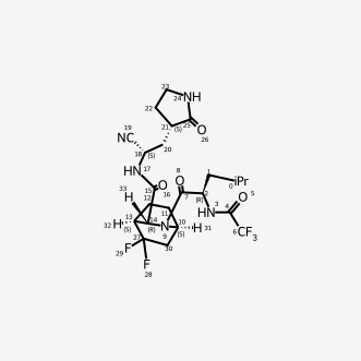 CC(C)C[C@@H](NC(=O)C(F)(F)F)C(=O)N1[C@H]2CC[C@@H]([C@@H]1C(=O)N[C@H](C#N)C[C@@H]1CCNC1=O)C(F)(F)C2